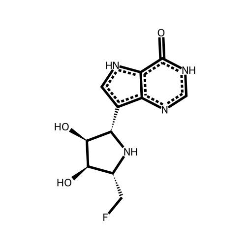 O=c1[nH]cnc2c([C@@H]3N[C@H](CF)[C@@H](O)[C@H]3O)c[nH]c12